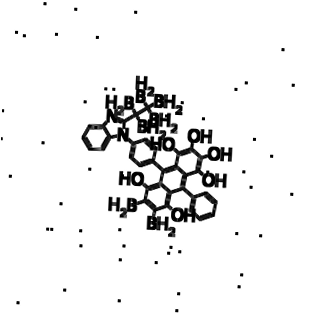 Bc1c(B)c(O)c2c(-c3ccc(-n4c(C(B)(B)C(B)(B)B)nc5ccccc54)cc3)c3c(O)c(O)c(O)c(O)c3c(-c3ccccc3)c2c1O